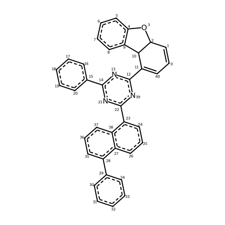 C1=CC2Oc3ccccc3C2C(c2nc(-c3ccccc3)nc(-c3cccc4c(-c5ccccc5)cccc34)n2)=C1